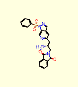 N[C@@H](Cc1cc2cnn(S(=O)(=O)c3ccccc3)c2cn1)CN1C(=O)c2ccccc2C1=O